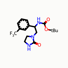 CC(C)(C)OC(=O)NC(CN1CCNC1=O)c1cccc(C(F)(F)F)c1